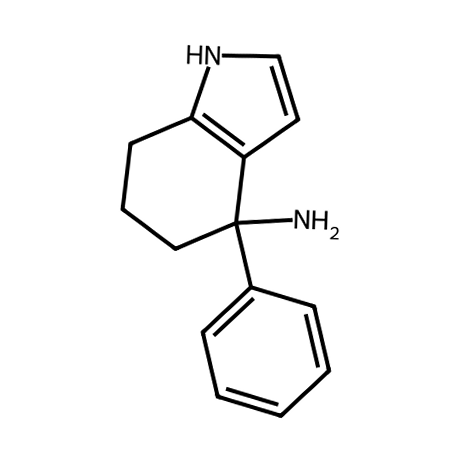 NC1(c2ccccc2)CCCc2[nH]ccc21